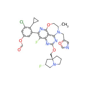 C[C@H]1COc2nc(-c3cc(OC=O)cc(Cl)c3C3CC3)c(F)c3nc(OC[C@@]45CCCN4C[C@H](F)C5)nc(c23)N1Cc1cnco1